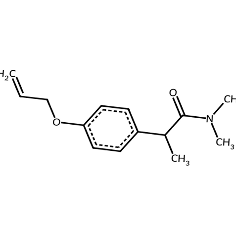 C=CCOc1ccc(C(C)C(=O)N(C)C)cc1